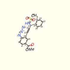 COC(=O)c1ccc(N=[N+]=[N-])c(C#CC(NS(C)(=O)=O)c2ccccc2)c1